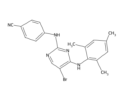 Cc1cc(C)c(Nc2nc(Nc3ccc(C#N)cc3)ncc2Br)c(C)c1